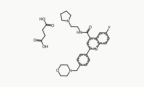 O=C(NCCN1CCCC1)c1cc(-c2ccc(CN3CCOCC3)cc2)nc2ccc(F)cc12.O=C(O)CCC(=O)O